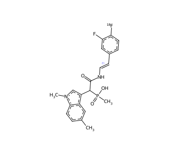 Cc1ccc2c(c1)c(C(C(=O)N/C=C/c1ccc([18F])c(F)c1)P(C)(=O)O)cn2C